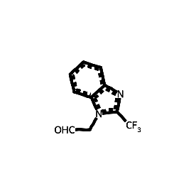 O=CCn1c(C(F)(F)F)nc2ccccc21